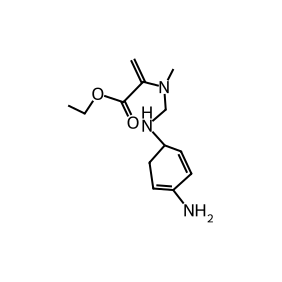 C=C(C(=O)OCC)N(C)CNC1C=CC(N)=CC1